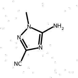 Cn1nc(C#N)nc1N